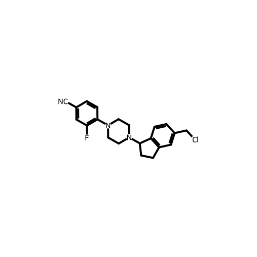 N#Cc1ccc(N2CCN(C3CCc4cc(CCl)ccc43)CC2)c(F)c1